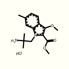 COC(=O)c1c(OC)c2ccc(C)cc2n1CC(C)(C)N.Cl